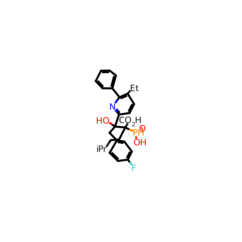 CCc1ccc(C(O)(Cc2ccc(F)cc2)C(CCC(C)C)(C(=O)O)[PH](=O)O)nc1-c1ccccc1